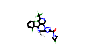 C[C@@H]1N=C(c2c(F)cccc2F)c2c(cnc(C(F)(F)F)c2Cl)-n2nc(C(=O)N3CC(F)C3)nc21